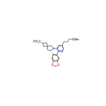 COCCCc1cnc(-c2ccc3c(c2)OCO3)c(N2CCC3(CC(C(=O)O)C3)C2)c1